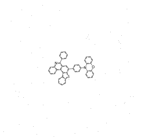 c1ccc(-c2nc3ccccc3c3c2cc(-c2ccc(N4c5ccccc5Oc5ccccc54)cc2)c2sc4ccccc4c23)cc1